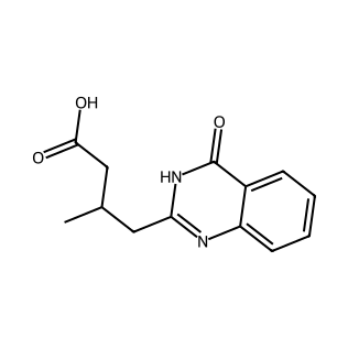 CC(CC(=O)O)Cc1nc2ccccc2c(=O)[nH]1